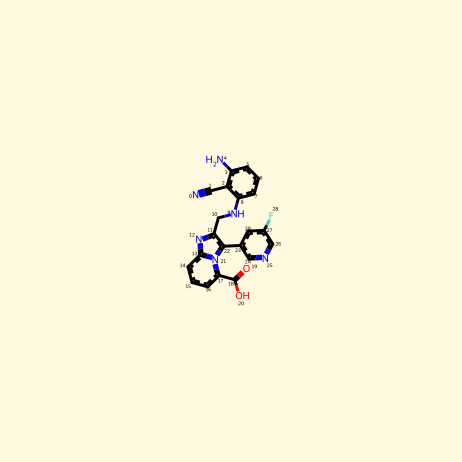 N#Cc1c(N)cccc1NCc1nc2cccc(C(=O)O)n2c1-c1cncc(F)c1